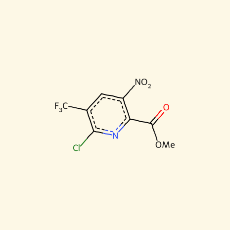 COC(=O)c1nc(Cl)c(C(F)(F)F)cc1[N+](=O)[O-]